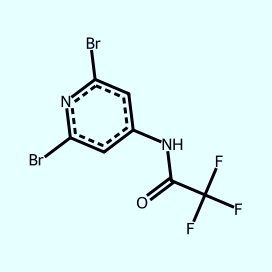 O=C(Nc1cc(Br)nc(Br)c1)C(F)(F)F